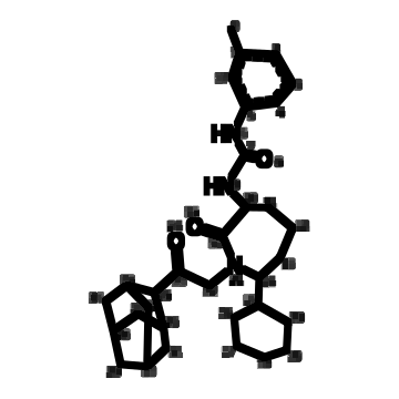 Cc1cccc(NC(=O)NC2CCCC(C3CCCCC3)N(CC(=O)C3C4CC5CC(C4)CC3C5)C2=O)c1